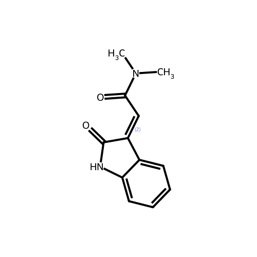 CN(C)C(=O)/C=C1\C(=O)Nc2ccccc21